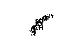 C/C=C\C1=C(C)CCN(C[C@@H](O)CN2CCCc3cc(N4CCN(C(C)C)CC4)ccc3C2=O)C1